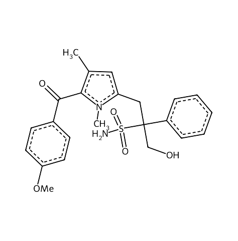 COc1ccc(C(=O)c2c(C)cc(CC(CO)(c3ccccc3)S(N)(=O)=O)n2C)cc1